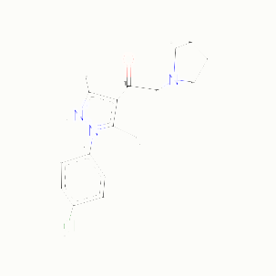 Cc1nn(-c2ccc(Cl)cc2)c(C)c1C(=O)CN1CCCC1